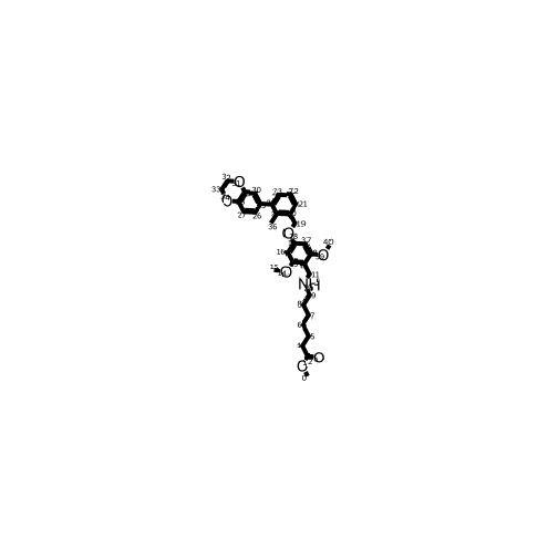 COC(=O)CCCCCCNCc1c(OC)cc(OCc2cccc(-c3ccc4c(c3)OCCO4)c2C)cc1OC